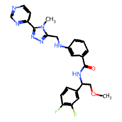 COCC(NC(=O)c1cccc(NCc2nnc(-c3ccncn3)n2C)c1)c1ccc(F)c(F)c1